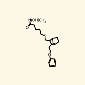 CN(O)C(=O)CCCCSCC1C2CCC(O2)C1CCOc1ccccc1